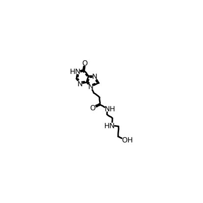 O=C(CCn1cnc2c(=O)[nH]cnc21)NCCNCCO